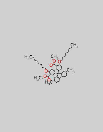 CCCCCCCCOc1ccc(C2(c3ccc(OCCCCCCCC)c(C(=O)OCC)c3)c3cc(C)ccc3-c3ccc(C)cc32)cc1C(=O)OCC